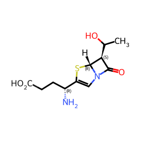 CC(O)[C@H]1C(=O)N2C=C([C@H](N)CCC(=O)O)S[C@H]12